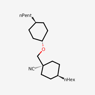 CCCCCC[C@H]1CC[C@@](C#N)(CO[C@H]2CC[C@H](CCCCC)CC2)CC1